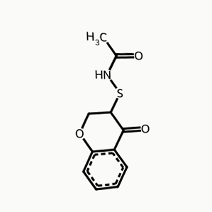 CC(=O)NSC1COc2ccccc2C1=O